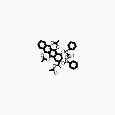 CC(=O)Oc1c2c(c(OC(C)=O)c3cc4ccccc4cc13)[C@@H](OB(O)c1ccccc1)C[C@](OB(O)c1ccccc1)([C@@H](C)OC(C)=O)C2